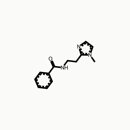 Cn1ccnc1CCNC(=O)c1ccccc1